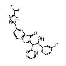 O=C1c2cc(-c3nnc(C(F)F)o3)ccc2CN1C(c1ncccn1)C(O)c1cccc(F)c1